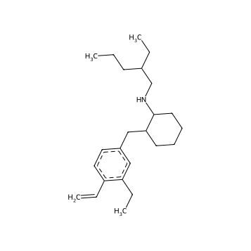 C=Cc1ccc(CC2CCCCC2NCC(CC)CCC)cc1CC